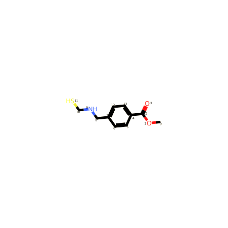 COC(=O)c1ccc(CNCS)cc1